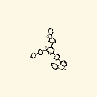 c1ccc(-c2ccc(-c3nc(-c4ccc(-c5cccc6c5-c5ccccc5CO6)cc4)nc(-c4ccc5c(c4)oc4ccccc45)n3)cc2)cc1